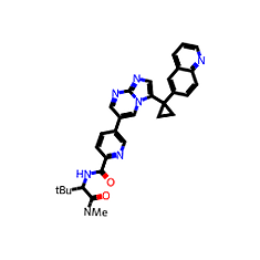 CNC(=O)C(NC(=O)c1ccc(-c2cnc3ncc(C4(c5ccc6ncccc6c5)CC4)n3c2)cn1)C(C)(C)C